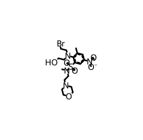 Cc1cc([N+](=O)[O-])cc(S(=O)(=O)N(C)CCN2CCOCC2)c1N(CCO)CCBr